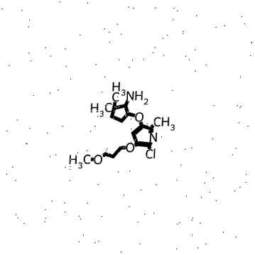 COCCCOc1cc(OC2CCC(C)(C)C2N)c(C)nc1Cl